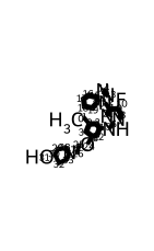 CCc1cc(Nc2ncc(F)c(-n3nnc4ccccc43)n2)cc(OCCN2CCC(O)CC2)c1